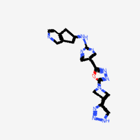 c1cc2c(cn1)CC(Nc1ncc(-c3nnc(N4CC(c5c[nH]nn5)C4)o3)cn1)C2